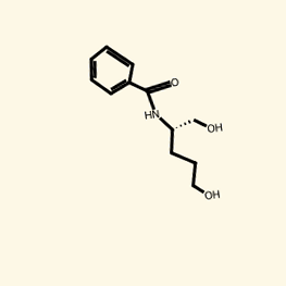 O=C(N[C@H](CO)CCCO)c1ccccc1